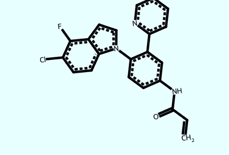 C=CC(=O)Nc1ccc(-n2ccc3c(F)c(Cl)ccc32)c(-c2ccccn2)c1